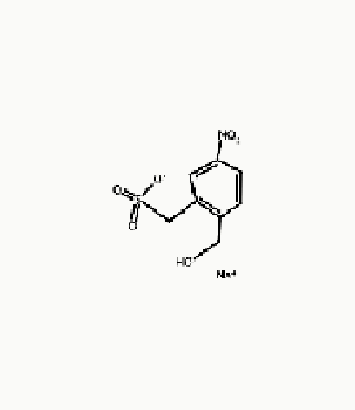 O=[N+]([O-])c1ccc(CO)c(CS(=O)(=O)[O-])c1.[Na+]